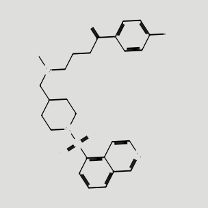 CN(CCCC(=O)c1ccc(F)cc1)CC1CCN(S(=O)(=O)c2cccc3cnccc23)CC1